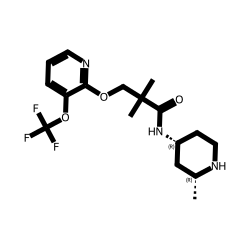 C[C@@H]1C[C@H](NC(=O)C(C)(C)COc2ncccc2OC(F)(F)F)CCN1